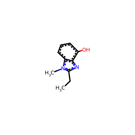 CCc1nc2c(O)cccc2n1C